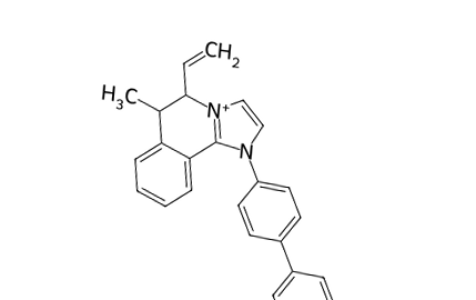 C=CC1C(C)c2ccccc2-c2n(-c3ccc(-c4ccccc4)cc3)cc[n+]21